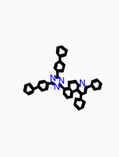 c1ccc(-c2ccc(-c3nc(-c4ccc(-c5ccccc5)cc4)nc(-c4cccc5c4ccc4nc(-c6ccccc6)cc(-c6ccccc6)c45)n3)cc2)cc1